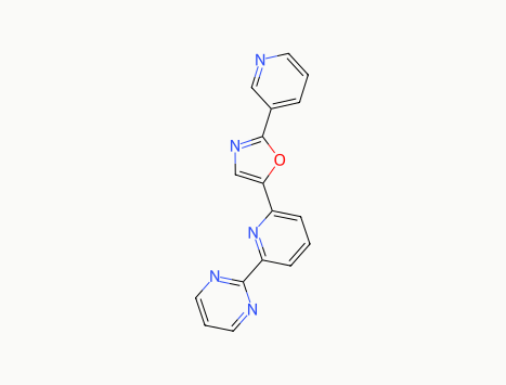 c1cnc(-c2cccc(-c3cnc(-c4cccnc4)o3)n2)nc1